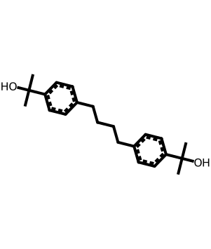 CC(C)(O)c1ccc(CCCCc2ccc(C(C)(C)O)cc2)cc1